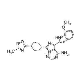 COc1cccc2cc(-c3nc([C@H]4CC[C@H](c5nc(C)no5)CC4)n4ncnc(N)c34)[nH]c12